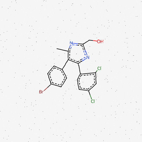 Cc1nc(CO)nc(-c2ccc(Cl)cc2Cl)c1-c1ccc(Br)cc1